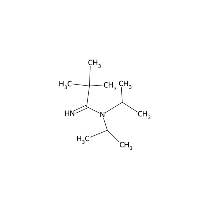 CC(C)N(C(=N)C(C)(C)C)C(C)C